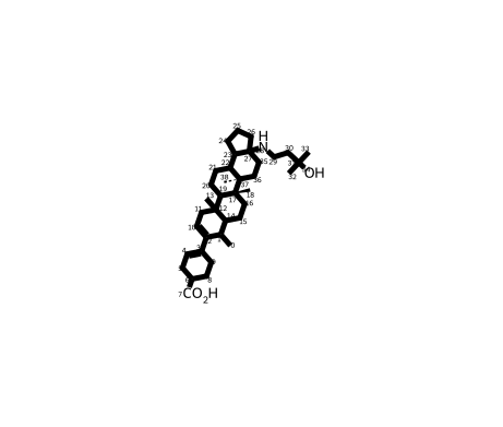 CC1C(C2=CCC(C(=O)O)CC2)=CCC2(C)C1CC[C@]1(C)C2CCC2C3CCCC3(NCCC(C)(C)O)CC[C@]21C